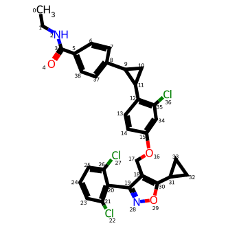 CCNC(=O)c1ccc(C2CC2c2ccc(OCc3c(-c4c(Cl)cccc4Cl)noc3C3CC3)cc2Cl)cc1